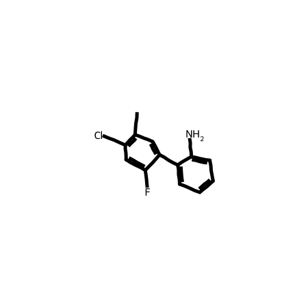 Cc1cc(-c2ccccc2N)c(F)cc1Cl